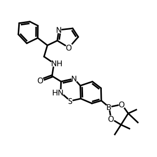 CC1(C)OB(c2ccc3c(c2)SNC(C(=O)NCC(c2ccccc2)c2ncco2)=N3)OC1(C)C